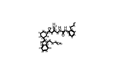 CCCc1ccccc1NC(=O)NCC(N)CC(=O)N1CCCC(c2nc3ccccc3n2CCCOC)C1